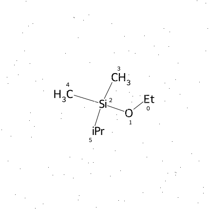 [CH2]CO[Si](C)(C)C(C)C